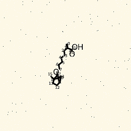 C=C(CCCCCCOC1CC2CCC1(C)C2(C)C)C(=O)O